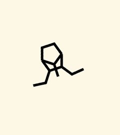 CCC1C2CCC(C2C)C1CC